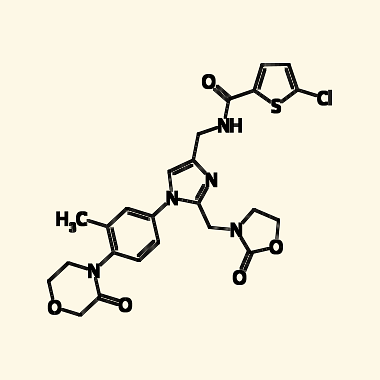 Cc1cc(-n2cc(CNC(=O)c3ccc(Cl)s3)nc2CN2CCOC2=O)ccc1N1CCOCC1=O